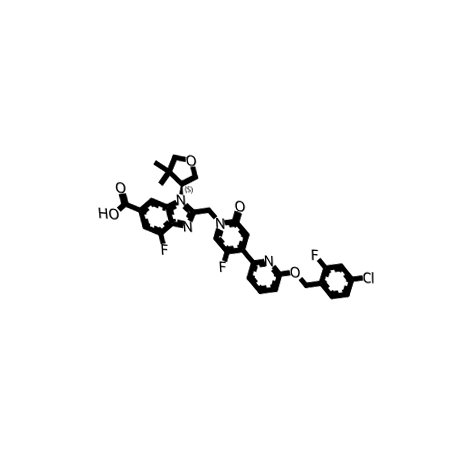 CC1(C)COC[C@H]1n1c(Cn2cc(F)c(-c3cccc(OCc4ccc(Cl)cc4F)n3)cc2=O)nc2c(F)cc(C(=O)O)cc21